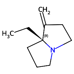 C=C1CCN2CCC[C@]12CC